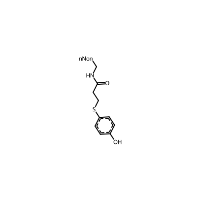 CCCCCCCCCCNC(=O)CCSc1ccc(O)cc1